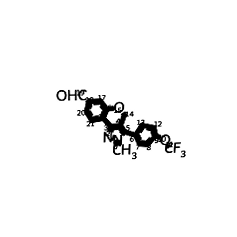 Cn1nc2c(c1-c1ccc(OC(F)(F)F)cc1)COc1cc(C=O)ccc1-2